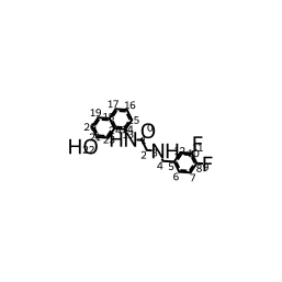 O=C(CNCc1ccc(F)c(F)c1)Nc1cccc2ccc(O)cc12